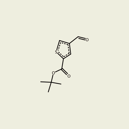 CC(C)(C)OC(=O)c1cc(C=O)cs1